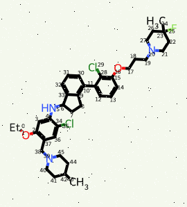 CCOc1cc(NC2CCc3c(-c4cccc(OCCCN5CCC(C)(F)CC5)c4Cl)cccc32)c(Cl)cc1CN1CCC(C)CC1